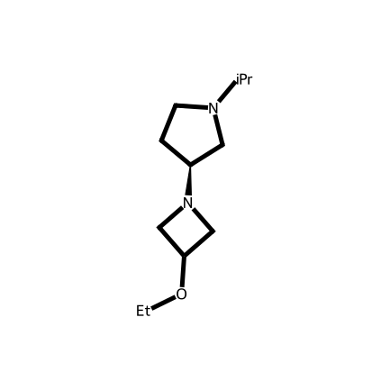 CCOC1CN([C@H]2CCN(C(C)C)C2)C1